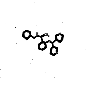 C=C(NCc1ccccc1)c1ccccc1OC(c1cccnc1)c1cccnc1